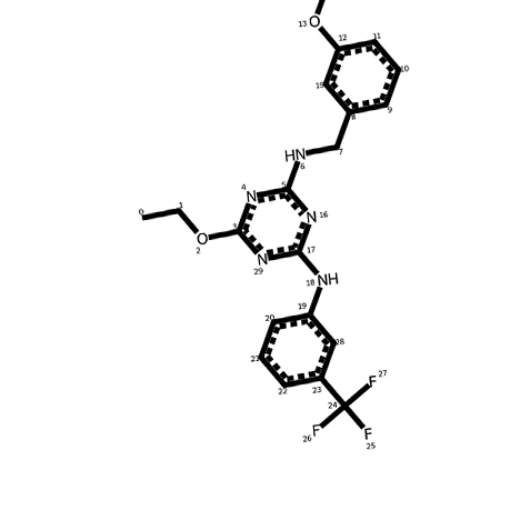 CCOc1nc(NCc2cccc(OC)c2)nc(Nc2cccc(C(F)(F)F)c2)n1